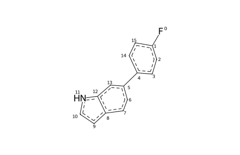 Fc1ccc(-c2ccc3cc[nH]c3c2)cc1